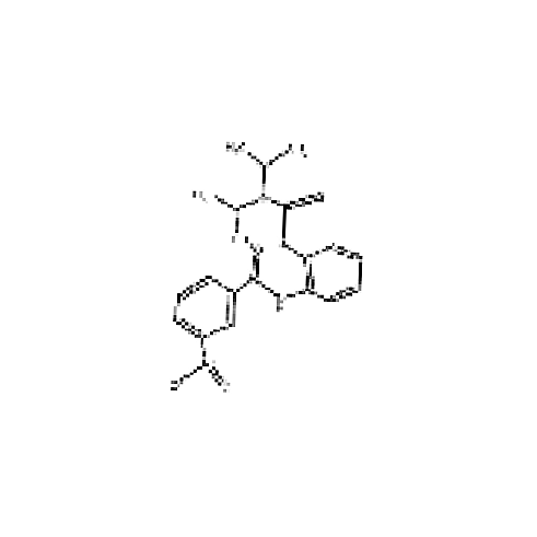 CC(C)N(C(=S)Sc1cnccc1NC(=O)c1cccc([N+](=O)[O-])c1)C(C)C